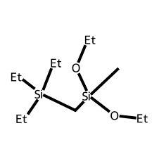 CCO[Si](C)(C[Si](CC)(CC)CC)OCC